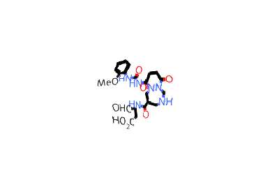 COc1ccccc1NC(=O)NC1CCC(=O)N2CNCC(C(=O)NC(C=O)CC(=O)O)C[N+]12[O-]